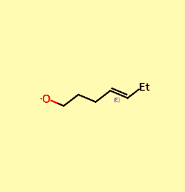 CC/C=C/CCC[O]